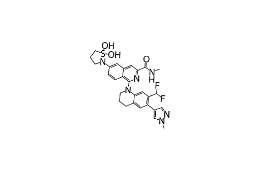 CNC(=O)c1cc2cc(N3CCCS3(O)O)ccc2c(N2CCCc3cc(-c4cnn(C)c4)c(C(F)F)cc32)n1